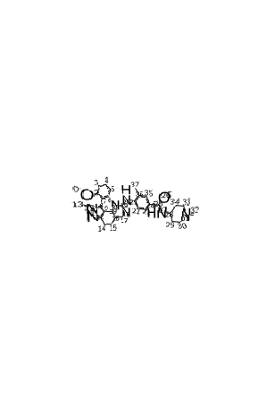 COc1ccccc1-c1c2c(nn1C)CCc1cnc(Nc3ccc(C(=O)NC4CCN(C)CC4)cc3C)nc1-2